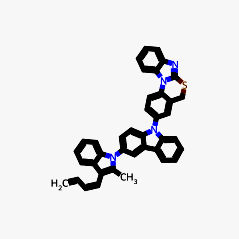 C=C/C=C\c1c(C)n(-c2ccc3c(c2)c2ccccc2n3-c2ccc3c(c2)CSc2nc4ccccc4n2-3)c2ccccc12